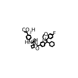 O=C(O)C=Cc1ccc(NC(=O)C2(NC(=O)c3ccc4c(C5CCCCC5)c5n(c4c3)CCOc3cc(F)ccc3-5)CCC2)cc1